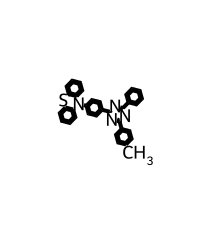 Cc1ccc(-c2nc(-c3ccccc3)nc(-c3ccc(N4c5ccccc5Sc5ccccc54)cc3)n2)cc1